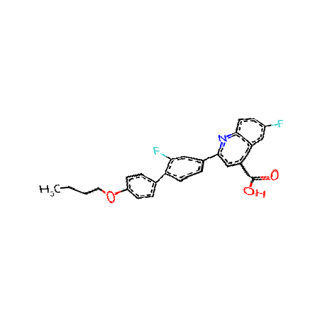 CCCCOc1ccc(-c2ccc(-c3cc(C(=O)O)c4cc(F)ccc4n3)cc2F)cc1